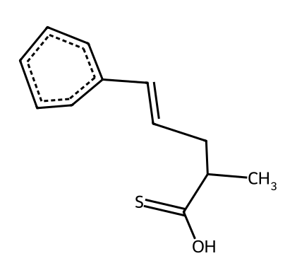 CC(CC=Cc1ccccc1)C(O)=S